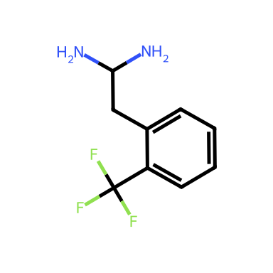 NC(N)Cc1ccccc1C(F)(F)F